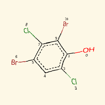 Oc1c(Cl)cc(Br)c(Cl)c1Br